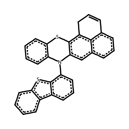 C1=Cc2cccc3cc4c(c(c23)C1)Sc1ccccc1N4c1cccc2c1sc1ccccc12